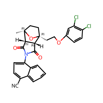 C[C@]12CC[C@](CCOc3ccc(Cl)c(Cl)c3)(O1)[C@@H]1C(=O)N(c3ccc(C#N)c4ccccc34)C(=O)[C@@H]12